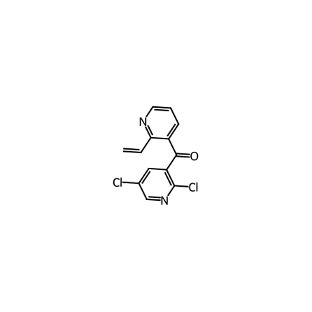 C=Cc1ncccc1C(=O)c1cc(Cl)cnc1Cl